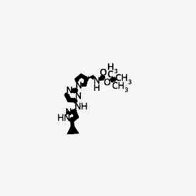 CC(C)(C)OC(=O)NC[C@@H]1CCN(c2nccc(Nc3cc(C4CC4)[nH]n3)n2)C1